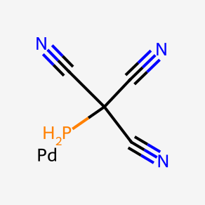 N#CC(P)(C#N)C#N.[Pd]